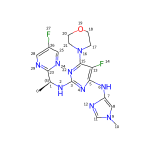 C[C@H](Nc1nc(Nc2cn(C)cn2)c(F)c(N2CCOCC2)n1)c1ncc(F)cn1